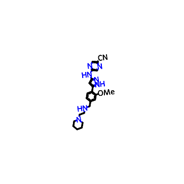 COc1cc(CNCCN2CCCCC2)ccc1-c1cc(Nc2cnc(C#N)cn2)n[nH]1